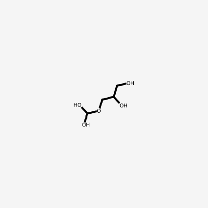 OCC(O)COC(O)O